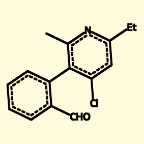 CCc1cc(Cl)c(-c2ccccc2C=O)c(C)n1